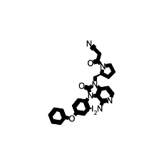 N#CCC(=O)N1CCC[C@H]1Cn1c(=O)n(-c2ccc(Oc3ccccc3)cc2)c2c(N)nccc21